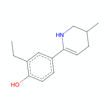 CCc1cc(C2=CCC(C)CN2)ccc1O